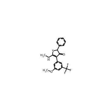 CNC1=C(c2cc(OC)cc(C(F)(F)F)c2)C(=O)C(c2ccccc2)S1